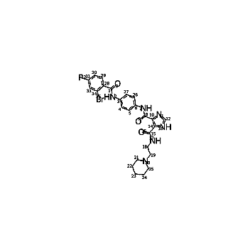 O=C(Nc1ccc(NC(=O)c2nc[nH]c2C(=O)NCCN2CCCCC2)cc1)c1ccc(F)cc1Br